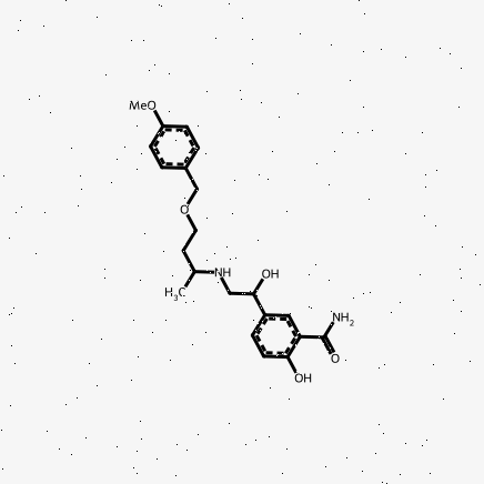 COc1ccc(COCCC(C)NCC(O)c2ccc(O)c(C(N)=O)c2)cc1